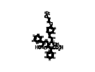 CCOCCOc1ccc(CCC(C)N(CC(CO)c2ccccc2)C(=O)C(C(=O)O)c2ccccc2)cc1